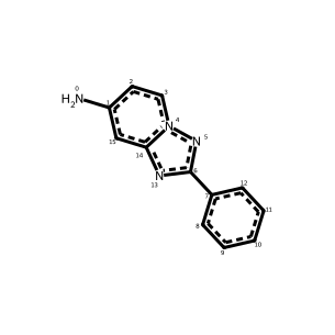 Nc1ccn2nc(-c3ccccc3)nc2c1